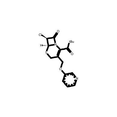 CC(C)(C)C(=O)C1=C(COc2cccnc2)CS[C@H]2[C@@H](Cl)C(=O)N12